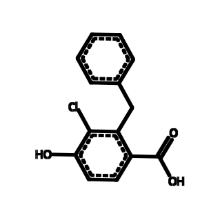 O=C(O)c1ccc(O)c(Cl)c1Cc1ccccc1